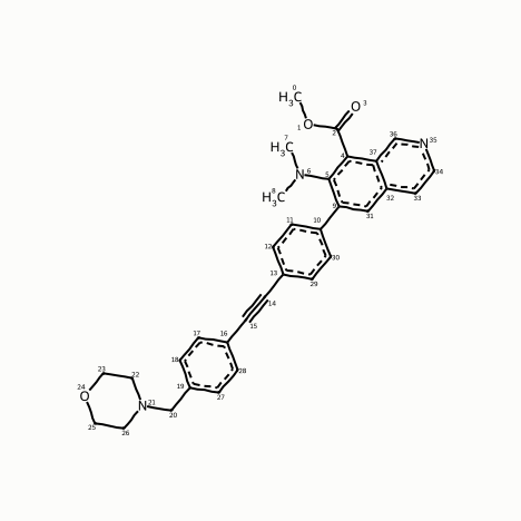 COC(=O)c1c(N(C)C)c(-c2ccc(C#Cc3ccc(CN4CCOCC4)cc3)cc2)cc2ccncc12